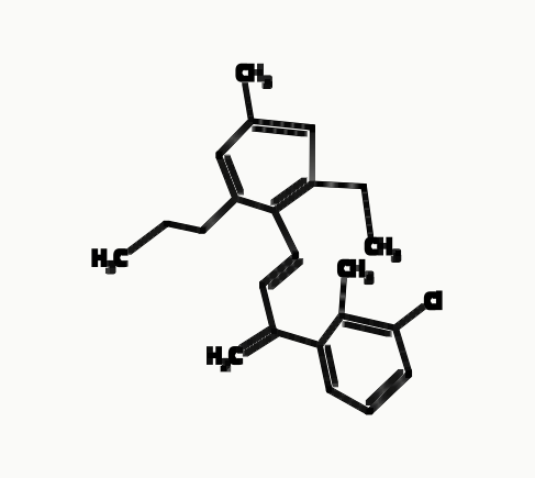 C=C(/C=C/c1c(CC)cc(C)cc1CCC)c1cccc(Cl)c1C